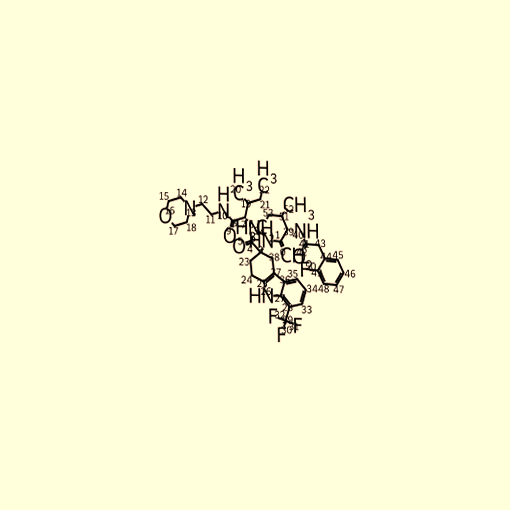 C=C(N[C@]1(C(=O)N[C@H](C(=O)NCCN2CCOCC2)C(C)CC)CCc2[nH]c3c(C(F)(F)F)cccc3c2C1)[C@@H](NC(=O)Cc1ccccc1F)C(C)CC